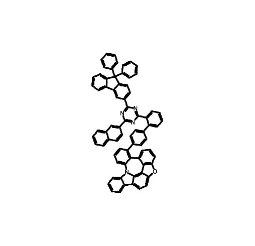 c1ccc(C2(c3ccccc3)c3ccccc3-c3cc(-c4nc(-c5ccc6ccccc6c5)nc(-c5ccccc5-c5ccc(-c6cccc7c6c6cccc8oc9ccc%10c%11ccccc%11n7c%10c9c86)cc5)n4)ccc32)cc1